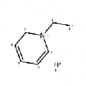 [CH2]CN1C=CC=CC1.[H+]